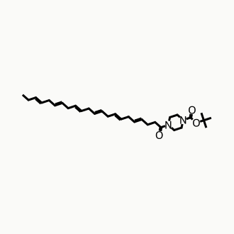 CCC=CCC=CCC=CCC=CCC=CCC=CCCC(=O)N1CCN(C(=O)OC(C)(C)C)CC1